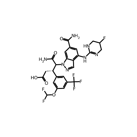 NC(=O)c1cc(NC2=NCC(F)CN2)c2cnn(C(C(N)=O)[C@@H](CC(=O)O)c3cc(OC(F)F)cc(C(F)(F)F)c3)c2c1